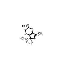 CC1=C[C](C)([Zr])C2=C1CCCC2.Cl.Cl